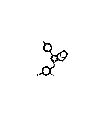 CC(=O)N1C2CCC1c1c(-c3ccc(F)cc3)nn(Cc3ccc(F)cc3F)c1C2